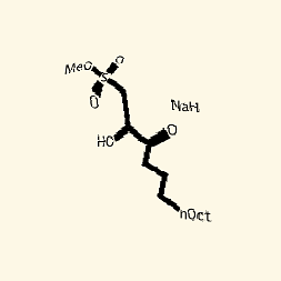 CCCCCCCCCCCC(=O)C(O)CS(=O)(=O)OC.[NaH]